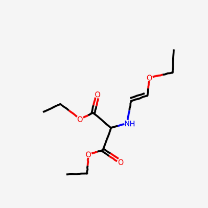 CCOC=CNC(C(=O)OCC)C(=O)OCC